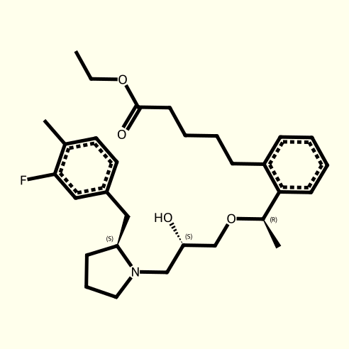 CCOC(=O)CCCCc1ccccc1[C@@H](C)OC[C@@H](O)CN1CCC[C@H]1Cc1ccc(C)c(F)c1